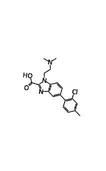 Cc1ccc(-c2ccc3c(c2)nc(C(=O)O)n3CCN(C)C)c(Cl)c1